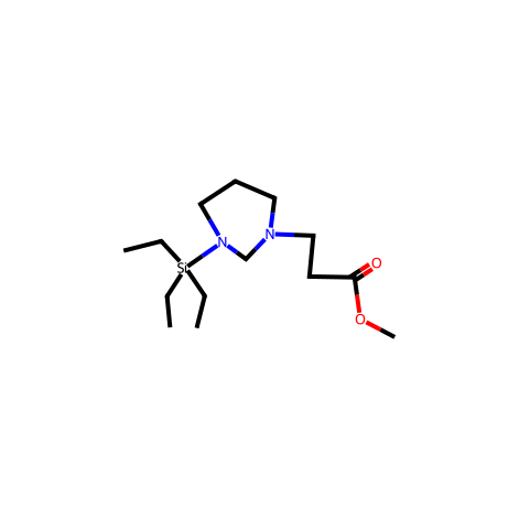 CC[Si](CC)(CC)N1CCCN(CCC(=O)OC)C1